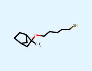 CC1(OCCCCCS)CC2CCC1C2